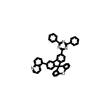 c1ccc(-c2nc(-c3ccccc3)nc(-c3ccc4c(c3)-c3cc(-c5cccc6ncccc56)ccc3C43c4ccccc4Oc4ccccc43)n2)cc1